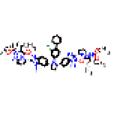 COC(=O)N[C@H](C(=O)N1CCC[C@H]1c1nc2cc([C@H]3CC[C@H](c4ccc5nc([C@@H]6CCCN6C(=O)[C@@H](NC(=O)OC)C(C)C)[nH]c5c4)N3c3ccc(C4CCCCC4)c(F)c3)ccc2[nH]1)C(C)C